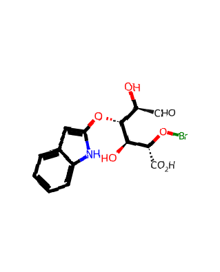 O=C[C@H](O)[C@@H](Oc1cc2ccccc2[nH]1)[C@H](O)[C@H](OBr)C(=O)O